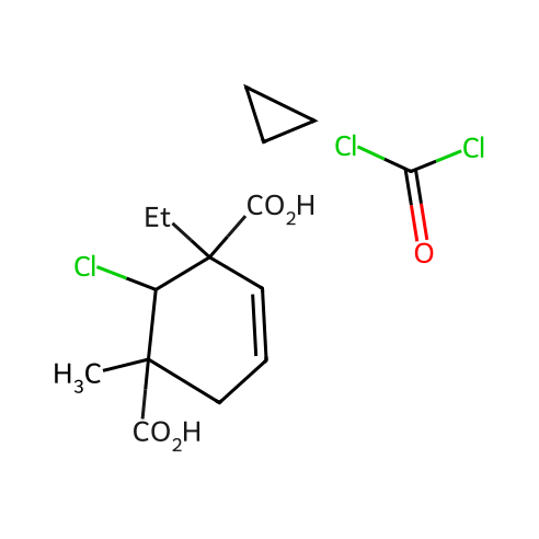 C1CC1.CCC1(C(=O)O)C=CCC(C)(C(=O)O)C1Cl.O=C(Cl)Cl